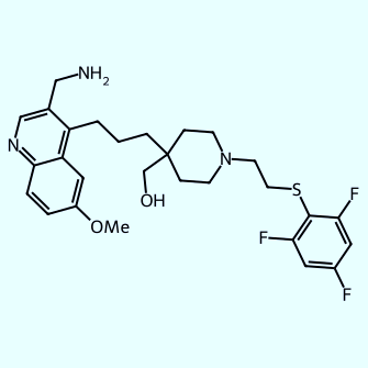 COc1ccc2ncc(CN)c(CCCC3(CO)CCN(CCSc4c(F)cc(F)cc4F)CC3)c2c1